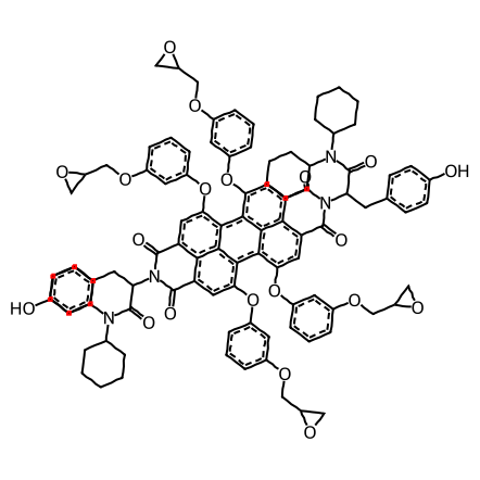 O=C1c2cc(Oc3cccc(OCC4CO4)c3)c3c4c(Oc5cccc(OCC6CO6)c5)cc5c6c(cc(Oc7cccc(OCC8CO8)c7)c(c7c(Oc8cccc(OCC9CO9)c8)cc(c2c37)C(=O)N1C(Cc1ccc(O)cc1)C(=O)N(C1CCCCC1)C1CCCCC1)c64)C(=O)N(C(Cc1ccc(O)cc1)C(=O)N(C1CCCCC1)C1CCCCC1)C5=O